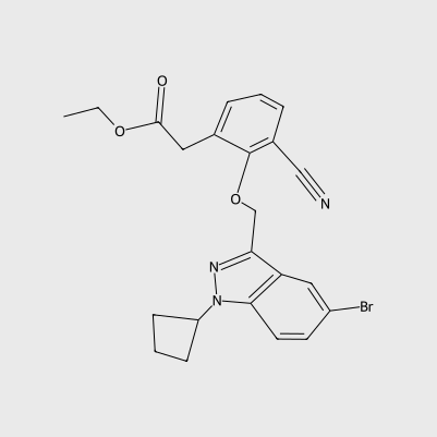 CCOC(=O)Cc1cccc(C#N)c1OCc1nn(C2CCC2)c2ccc(Br)cc12